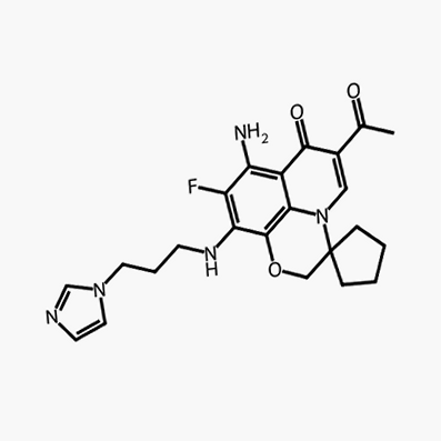 CC(=O)c1cn2c3c(c(NCCCn4ccnc4)c(F)c(N)c3c1=O)OCC21CCCC1